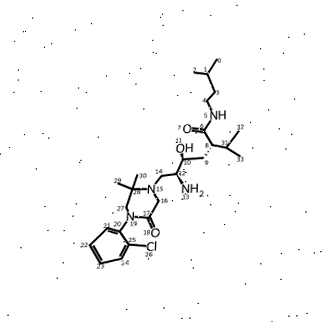 CC(C)CCNC(=O)[C@@H](C[C@H](O)[C@@H](N)CN1CC(=O)N(c2ccccc2Cl)CC1(C)C)C(C)C